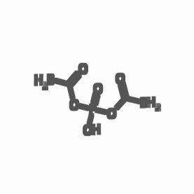 BC(=O)OP(=O)(O)OC(B)=O